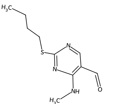 CCCCSc1ncc(C=O)c(NC)n1